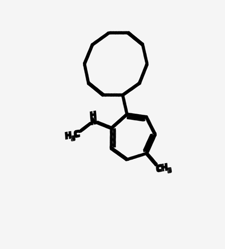 CNC1=CCC(C)=CC=C1C1CCCCCCCCC1